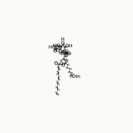 C#CC#CC#CC#CC#CC#CC(=O)OC[C@H](COP(=O)(O)OC1C(O)[C@H](OP(=O)(O)O)[C@H](O)C(O)[C@@H]1O)OC(=O)CCCCCCCCCCCCCCC